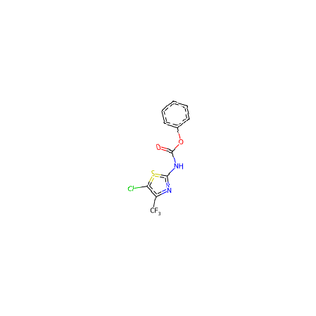 O=C(Nc1nc(C(F)(F)F)c(Cl)s1)Oc1ccccc1